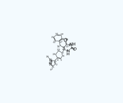 Cc1cc(C2=CCC(c3[nH]c(=O)[nH]c(=O)c3Cc3ccccc3)CC2)n(C)n1